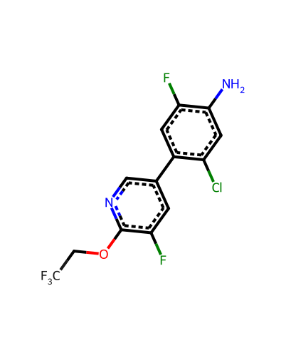 Nc1cc(Cl)c(-c2cnc(OCC(F)(F)F)c(F)c2)cc1F